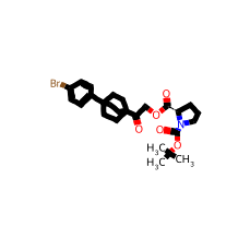 CC(C)(C)OC(=O)N1CCC[C@H]1C(=O)OCC(=O)C12CCC(c3ccc(Br)cc3)(CC1)CC2